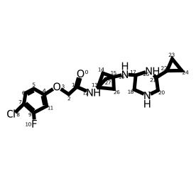 O=C(COc1ccc(Cl)c(F)c1)NC12CC(NC3CNCC(C4CC4)N3)(C1)C2